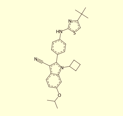 CC(C)Oc1ccc2c(C#N)c(-c3ccc(Nc4nc(C(C)(C)C)cs4)cc3)n(C3CCC3)c2c1